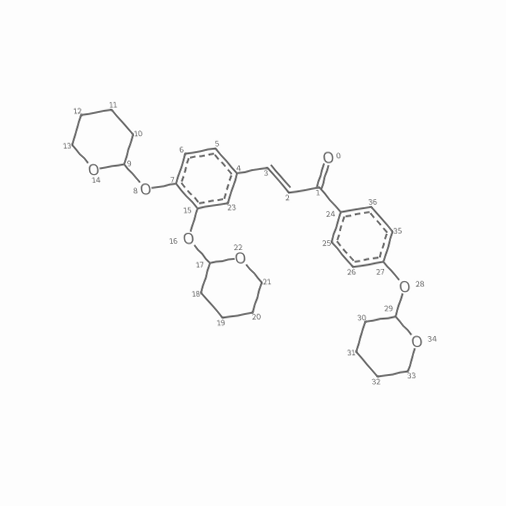 O=C(C=Cc1ccc(OC2CCCCO2)c(OC2CCCCO2)c1)c1ccc(OC2CCCCO2)cc1